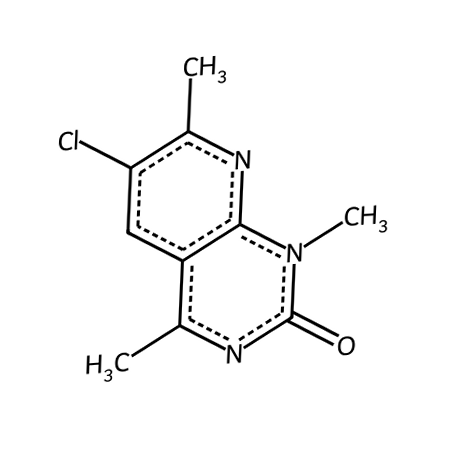 Cc1nc2c(cc1Cl)c(C)nc(=O)n2C